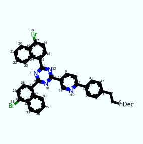 CCCCCCCCCCCCc1ccc(-c2ccc(-c3nc(-c4ccc(Br)c5ccccc45)nc(-c4ccc(Br)c5ccccc45)n3)cn2)cc1